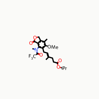 COc1c(C)c2c(c(N(C)C(=O)C(F)(F)F)c1C/C=C(\C)CCC(=O)OC(C)C)C(=O)OC2